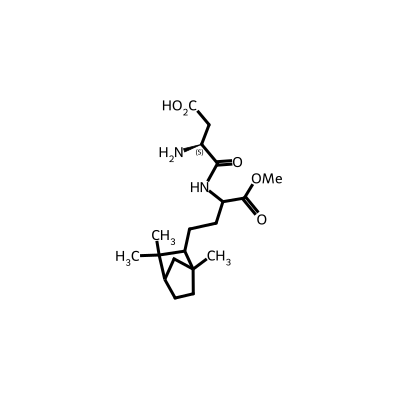 COC(=O)C(CCC1C2(C)CCC(C2)C1(C)C)NC(=O)[C@@H](N)CC(=O)O